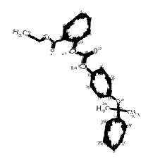 CCOC(=O)c1ccccc1OC(=O)Oc1ccc(OC(C)(C)c2ccccc2)cc1